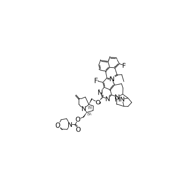 C=C1CN2[C@H](COC(=O)N3CCOCC3)CC[C@@]2(COc2nc3c4c(nc(-c5cccc6ccc(F)c(C(=C)CC)c56)c(F)c4n2)CCC2C4CCC(CN32)N4)C1